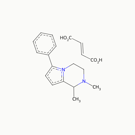 CC1c2ccc(-c3ccccc3)n2CCN1C.O=C(O)C=CC(=O)O